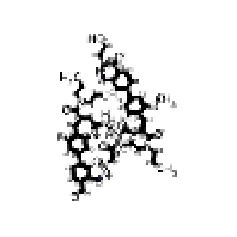 CCCN(CCC)C(=O)C1=Cc2c(F)cc(-c3ccc(C=O)c(/C=N\N(C)CC(=O)NNC4=Nc5cc(-c6ccc(C=O)c(/C=N\N(C)CCO)c6)cc(OC)c5C=C(C(=O)N(CCC)CCC)C4)c3)cc2N=C(NC)C1